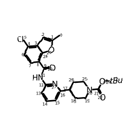 Cc1cc2c(Cl)ccc(C(=O)Nc3cccc(C4CCN(C(=O)OC(C)(C)C)CC4)n3)c2o1